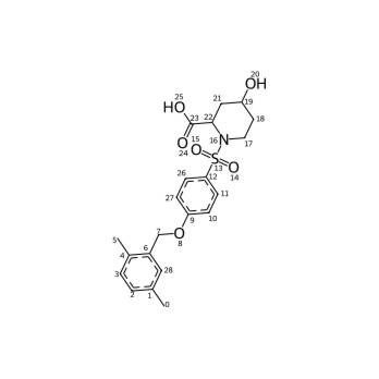 Cc1ccc(C)c(COc2ccc(S(=O)(=O)N3CCC(O)CC3C(=O)O)cc2)c1